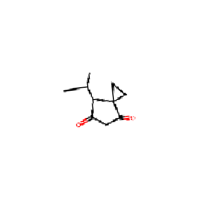 CC(C)C1C(=O)CC(=O)C12CC2